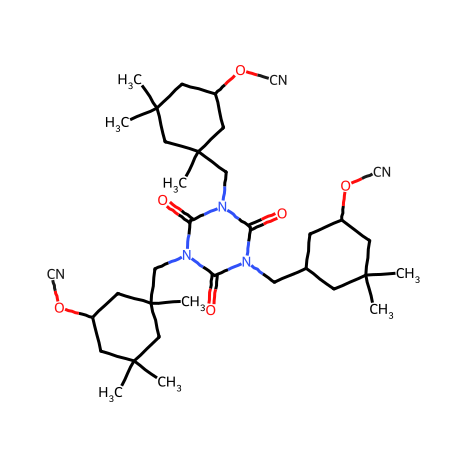 CC1(C)CC(Cn2c(=O)n(CC3(C)CC(OC#N)CC(C)(C)C3)c(=O)n(CC3(C)CC(OC#N)CC(C)(C)C3)c2=O)CC(OC#N)C1